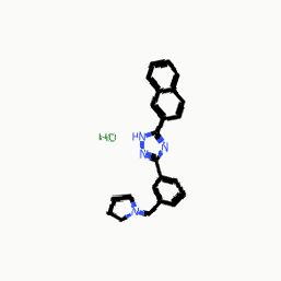 Cl.c1cc(CN2CCCC2)cc(-c2n[nH]c(-c3ccc4ccccc4c3)n2)c1